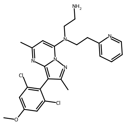 COc1cc(Cl)c(-c2c(C)nn3c(N(CCN)CCc4ccccn4)cc(C)nc23)c(Cl)c1